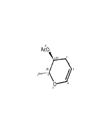 CC(=O)O[C@H]1CC=CO[C@@H]1C